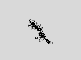 COc1ccc(NC(=O)C(=O)Nc2ccc(Oc3ccnc4c(OC)c(OCC5CCNCC5)ccc34)c(F)c2)cc1OC